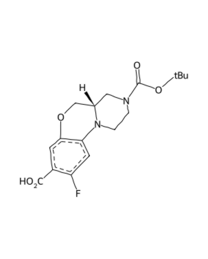 CC(C)(C)OC(=O)N1CCN2c3cc(F)c(C(=O)O)cc3OC[C@@H]2C1